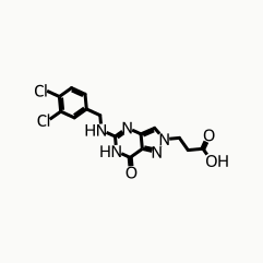 O=C(O)CCn1cc2nc(NCc3ccc(Cl)c(Cl)c3)[nH]c(=O)c2n1